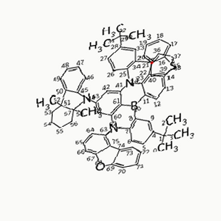 CC(C)(C)c1ccc2c(c1)B1c3ccc4sc5ccccc5c4c3N(c3ccc(C(C)(C)C)cc3-c3ccccc3)c3cc(N4c5ccccc5C5(C)CCCCC45C)cc(c31)N2c1cccc2oc3ccccc3c12